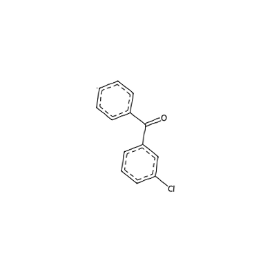 O=C(c1cc[c]cc1)c1cccc(Cl)c1